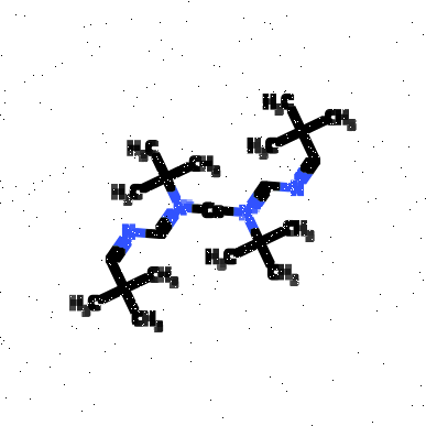 CC(C)(C)/C=N\C=[N+](\[Co]/[N+](=C/N=C\C(C)(C)C)C(C)(C)C)C(C)(C)C